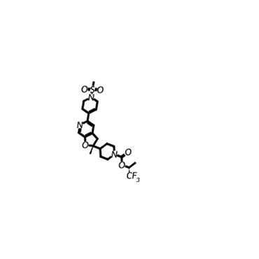 C[C@@H](OC(=O)N1CCC([C@@]2(C)Cc3cc(C4=CCN(S(C)(=O)=O)CC4)ncc3O2)CC1)C(F)(F)F